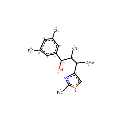 COC(c1csc(C(F)(F)F)n1)C(C#N)C(O)c1cc(C(F)(F)F)cc(C(F)(F)F)c1